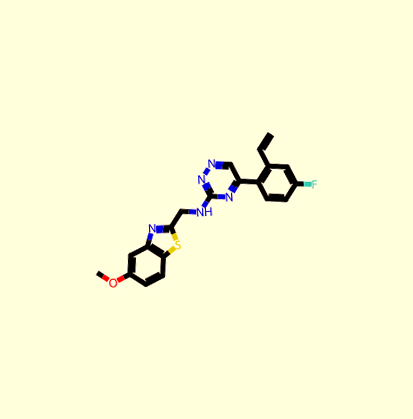 C=Cc1cc(F)ccc1-c1cnnc(NCc2nc3cc(OC)ccc3s2)n1